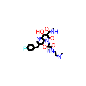 CNC(=O)c1c(O)c2ncc(Cc3ccc(F)cc3)c3c2n(c1=O)C[C@](C)(C(=O)NCCN(C)C)O3